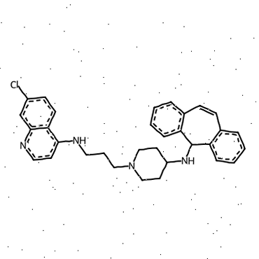 Clc1ccc2c(NCCCN3CCC(NC4c5ccccc5C=Cc5ccccc54)CC3)ccnc2c1